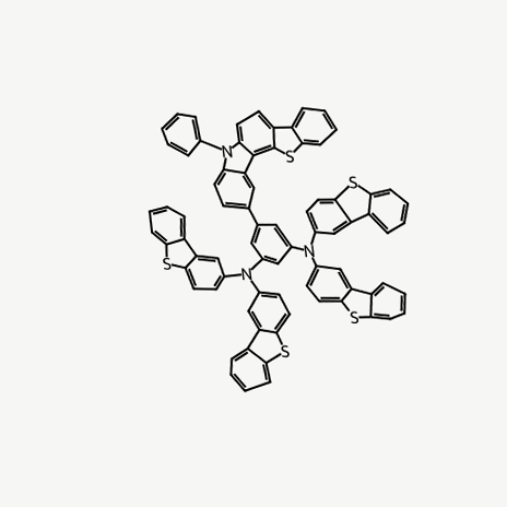 c1ccc(-n2c3ccc(-c4cc(N(c5ccc6sc7ccccc7c6c5)c5ccc6sc7ccccc7c6c5)cc(N(c5ccc6sc7ccccc7c6c5)c5ccc6sc7ccccc7c6c5)c4)cc3c3c4sc5ccccc5c4ccc32)cc1